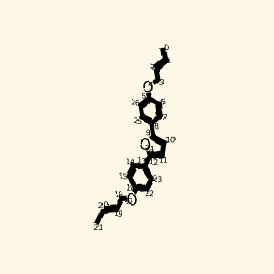 CC=CCOc1ccc(-c2ccc(-c3ccc(OCC=CC)cc3)o2)cc1